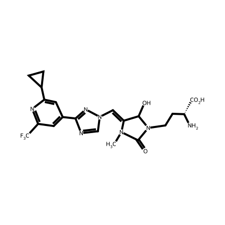 CN1C(=O)N(CC[C@@H](N)C(=O)O)C(O)/C1=C/n1cnc(-c2cc(C3CC3)nc(C(F)(F)F)c2)n1